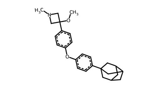 COC1(c2ccc(Oc3ccc(C45CC6CC(C4)C(C6)C5)cc3)cc2)CN(C)C1